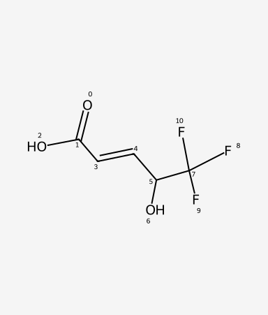 O=C(O)C=CC(O)C(F)(F)F